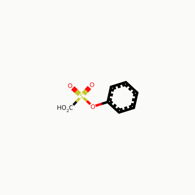 O=C(O)S(=O)(=O)Oc1ccccc1